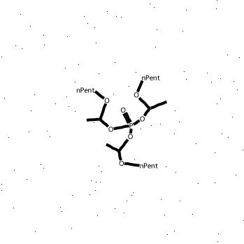 CCCCCOC(C)OP(=O)(OC(C)OCCCCC)OC(C)OCCCCC